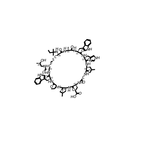 CCC1NC(=O)[C@H](CC(C)C)NC(=O)[C@H](CCC(=O)O)NC(=O)CNC(=O)[C@H](CC(C)C)NC(=O)[C@H](Cc2c[nH]cn2)NC(=O)[C@H](Cc2c[nH]c3ccccc23)NC(=O)[C@H](C)NC(=O)[C@@H](NC(C)(C)CC)CSCC[C@@H](C(=O)NC[C@@H](C)O)NC(=O)[C@H](Cc2c[nH]c3ccccc23)NC1=O